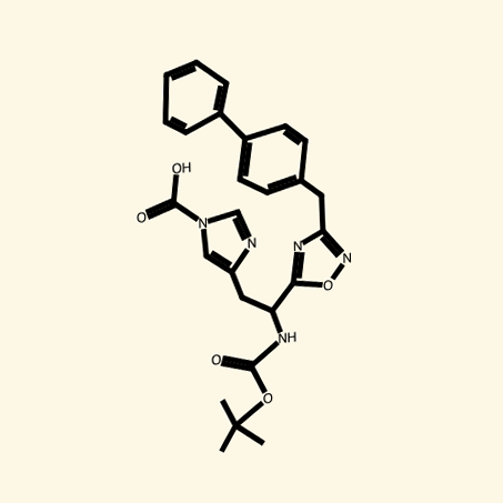 CC(C)(C)OC(=O)NC(Cc1cn(C(=O)O)cn1)c1nc(Cc2ccc(-c3ccccc3)cc2)no1